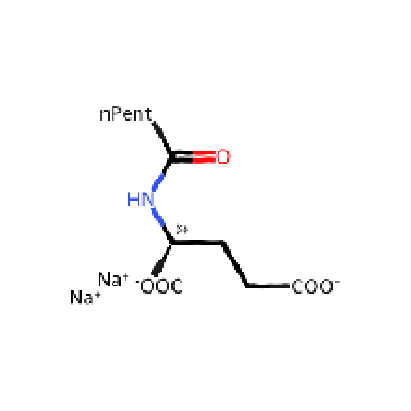 CCCCCC(=O)N[C@@H](CCC(=O)[O-])C(=O)[O-].[Na+].[Na+]